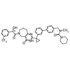 CN(Cc1ccc(-c2cccc(C3(c4nc5c(c(=O)[nH]4)CN(C(=O)[C@H](O)c4cccc(C(F)(F)F)c4)CCC5)CC3)c2)cc1)C(=O)N1CCCCC1